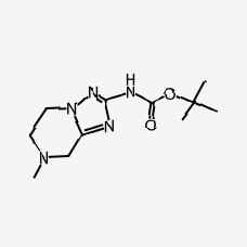 CN1CCn2nc(NC(=O)OC(C)(C)C)nc2C1